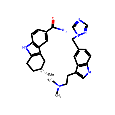 CN(C)CCc1c[nH]c2ccc(Cn3cncn3)cc12.CN[C@@H]1CCc2[nH]c3ccc(C(N)=O)cc3c2C1